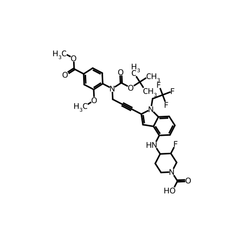 COC(=O)c1ccc(N(CC#Cc2cc3c(NC4CCN(C(=O)O)CC4F)cccc3n2CC(F)(F)F)C(=O)OC(C)(C)C)c(OC)c1